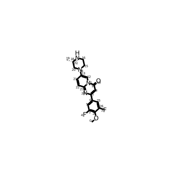 COc1c(F)cc(-c2cc(=O)n3cc(N4CCN[C@@H](C)C4)ccc3n2)cc1F